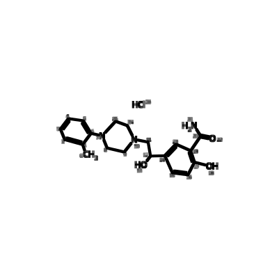 Cc1ccccc1N1CCN(CC(O)c2ccc(O)c(C(N)=O)c2)CC1.Cl